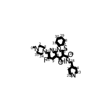 CN1CCN(c2nc3c(cc2F)c(=O)c(C(=O)NCc2ccncc2)c2sc4ccccc4n23)CC1